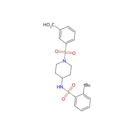 CC(C)(C)c1ccccc1S(=O)(=O)NC1CCN(S(=O)(=O)c2cccc(C(=O)O)c2)CC1